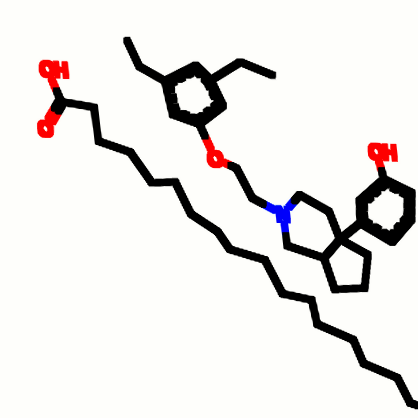 CCCCCCCCCCCCCCCCCC(=O)O.CCc1cc(CC)cc(OCCN2CCC3(c4cccc(O)c4)CCCC3C2)c1